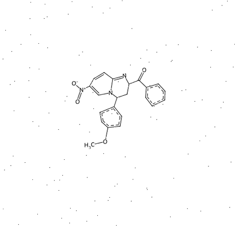 COc1ccc(C2CC(C(=O)c3ccccc3)N=C3C=CC([N+](=O)[O-])=CN32)cc1